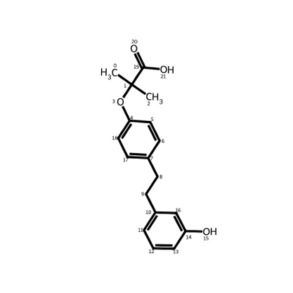 CC(C)(Oc1ccc(CCc2cccc(O)c2)cc1)C(=O)O